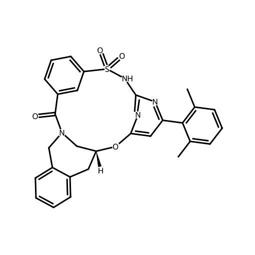 Cc1cccc(C)c1-c1cc2nc(n1)NS(=O)(=O)c1cccc(c1)C(=O)N1Cc3ccccc3C[C@H](C1)O2